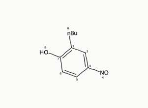 CCCCc1cc(N=O)ccc1O